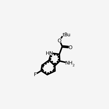 CC(C)(C)OC(=O)c1[nH]c2cc(F)ccc2c1N